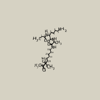 CCC(=O)NC(CCCCN)C(=O)NC(C)C(=O)NCCCCCCC(C)(C)C(C)=O